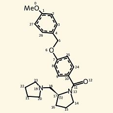 COc1ccc(COc2ccc(C(=O)N3CCC[C@H]3CN3CCCC3)cc2)cc1